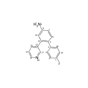 Cc1ccc(-c2ccc(N)cc2-c2cccnc2)cc1